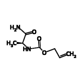 C=CCOC(=O)N[C@@H](C)C(N)=O